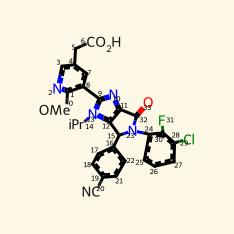 COc1ncc(CC(=O)O)cc1-c1nc2c(n1C(C)C)C(c1ccc(C#N)cc1)N(c1cccc(Cl)c1F)C2=O